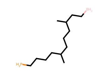 BCCC(C)CCCC(C)CCCCP